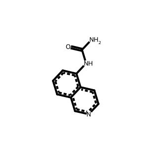 NC(=O)Nc1cccc2cnccc12